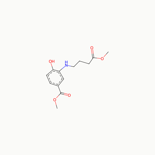 COC(=O)CCCNc1cc(C(=O)OC)ccc1O